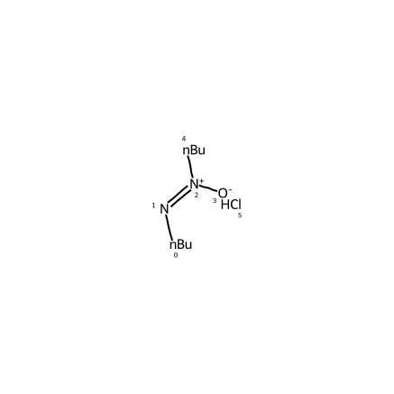 CCCCN=[N+]([O-])CCCC.Cl